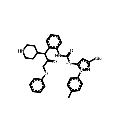 Cc1ccc(-n2nc(C(C)(C)C)cc2NC(=O)Nc2ccccc2C(C(=O)COc2ccccc2)C2CCNCC2)cc1